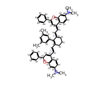 Cc1cc(C)cc(C2=C(/C=C/C3=CC(c4ccccc4)Oc4cc(N(C)C)ccc43)CCC/C2=C\C=C2/C=C(c3ccccc3)Oc3cc(N(C)C)ccc32)c1